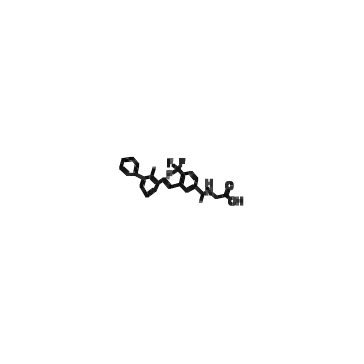 Cc1c(/C=C/c2cc(C(C)NCC(=O)O)ccc2C(F)(F)F)cccc1-c1ccccc1